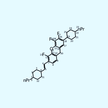 CCCC1CCC(/C=C/c2ccc3c(c2F)Oc2c(cc(C4CCC(CCC)CC4)c(F)c2F)C3)CC1